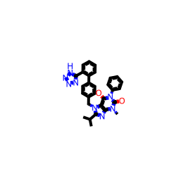 CC(C)c1nc2c(c(=O)n(-c3ccccc3)c(=O)n2C)n1Cc1ccc(-c2ccccc2-c2nnn[nH]2)cc1